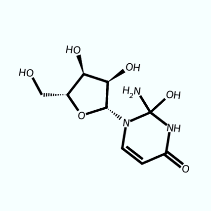 NC1(O)NC(=O)C=CN1[C@@H]1O[C@H](CO)[C@@H](O)[C@H]1O